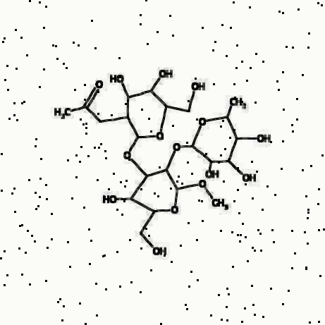 COC1OC(CO)C(O)C(OC2OC(CO)C(O)C(O)C2CC(C)=O)C1OC1OC(C)C(O)C(O)C1O